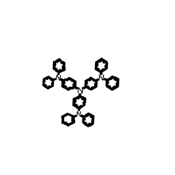 C1=CCCC(N(c2ccccc2)c2ccc(N(c3ccc(N(c4ccccc4)c4ccccc4)cc3)c3ccc(N(c4ccccc4)c4ccccc4)cc3)cc2)=C1